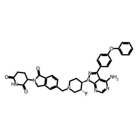 Nc1ncnc2c1c(-c1ccc(Oc3ccccc3)cc1)nn2[C@@H]1CCN(Cc2ccc3c(c2)CN(C2CCC(=O)NC2=O)C3=O)C[C@H]1F